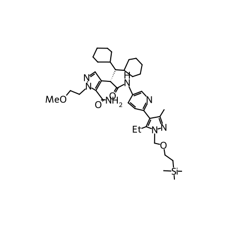 CCc1c(-c2ccc(NC(=O)[C@H](c3cnn(CCOC)c3C(N)=O)C(C3CCCCC3)C3CCCCC3)cn2)c(C)nn1COCC[Si](C)(C)C